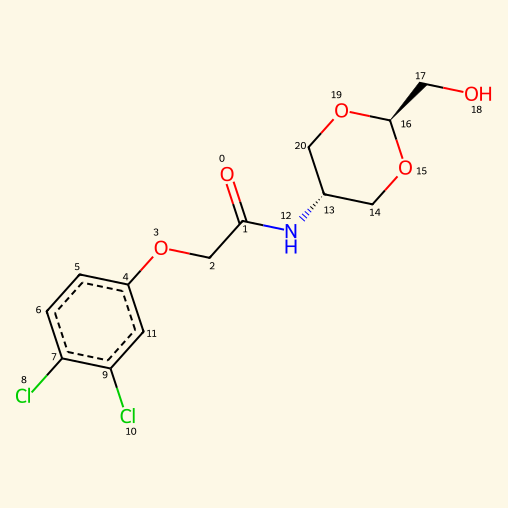 O=C(COc1ccc(Cl)c(Cl)c1)N[C@H]1CO[C@H](CO)OC1